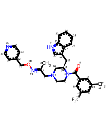 C/C(CN1CCN(C(=O)c2cc(C(F)(F)F)cc(C(F)(F)F)c2)[C@H](Cc2c[nH]c3ccccc23)C1)=N\OCc1ccncc1